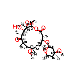 CC[C@H]1OC(=O)[C@H](C)C(O[C@H]2C[C@@](C)(OC)C[C@H](C)O2)[C@H](C)C[C@](C)(OC)C[C@@H](C)C(=O)[C@H](C)[C@@H](O)[C@]1(C)O